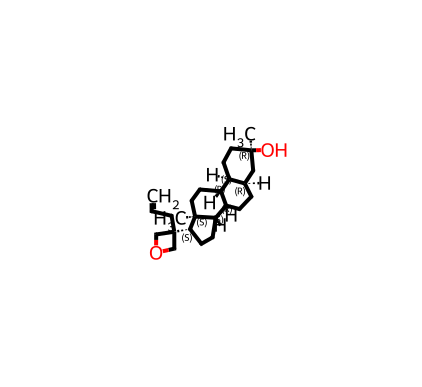 C=CCC1([C@H]2CC[C@H]3[C@@H]4CC[C@@H]5C[C@](C)(O)CC[C@@H]5[C@H]4CC[C@]23C)COC1